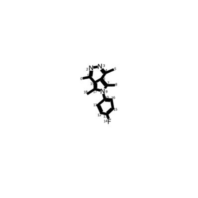 Cc1nnc(C)c2c(C)n(-c3ccc(F)cc3)c(C)c12